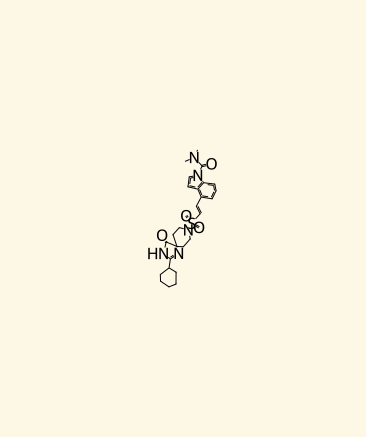 CN(C)C(=O)n1ccc2c(C=CS(=O)(=O)N3CCC4(CC3)N=C(C3CCCCC3)NC4=O)cccc21